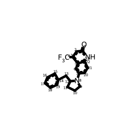 O=c1cc(C(F)(F)F)c2cc(N3CCCC3Cc3ccccc3)ccc2[nH]1